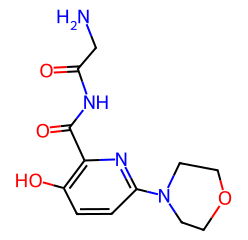 NCC(=O)NC(=O)c1nc(N2CCOCC2)ccc1O